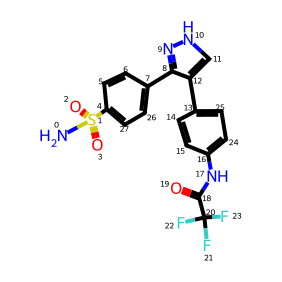 NS(=O)(=O)c1ccc(-c2n[nH]cc2-c2ccc(NC(=O)C(F)(F)F)cc2)cc1